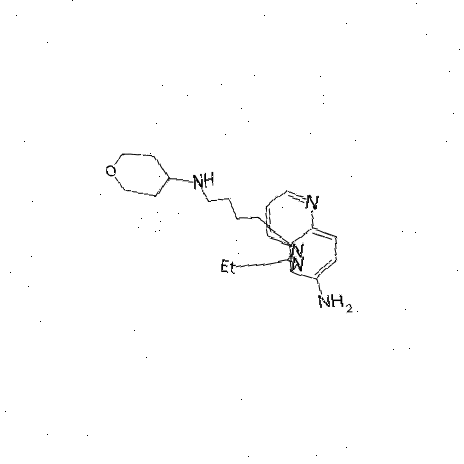 CCC1N=C2C(N)=CC=C3N=CC=CC32N1CCCCNC1CCOCC1